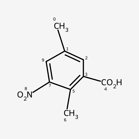 Cc1cc(C(=O)O)c(C)c([N+](=O)[O-])c1